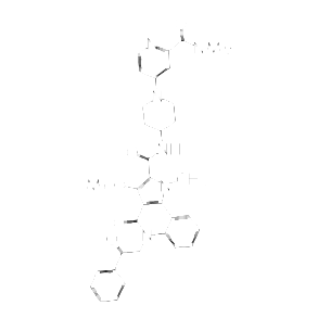 CNC(=O)c1cc(N2CCC(NC(=O)c3c(OC)c4c(=O)n(CC(=O)c5ccccc5)c5ccccc5c4n3C)CC2)ccn1